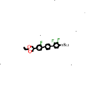 C=CC1OCC(c2ccc(-c3ccc(-c4ccc(CCCC)c(F)c4F)cc3)c(F)c2)CO1